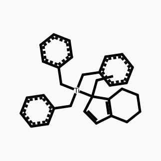 CC[C]1([Ti]([CH2]c2ccccc2)([CH2]c2ccccc2)[CH2]c2ccccc2)C=CC2=C1CCCC2